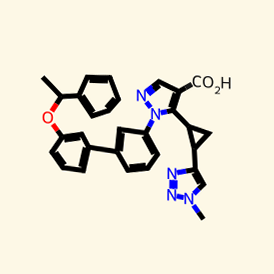 CC(Oc1cccc(-c2cccc(-n3ncc(C(=O)O)c3C3CC3c3cn(C)nn3)c2)c1)c1ccccc1